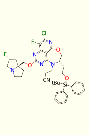 CC(C)(C)[Si](OCC[C@H]1COc2nc(Cl)c(F)c3nc(OC[C@@]45CCCN4C[C@H](F)C5)nc(c23)N1CCC#N)(c1ccccc1)c1ccccc1